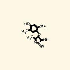 CC1=NN(C(C)C)C(=N)C1=Nc1cc(C)c(O)cc1N